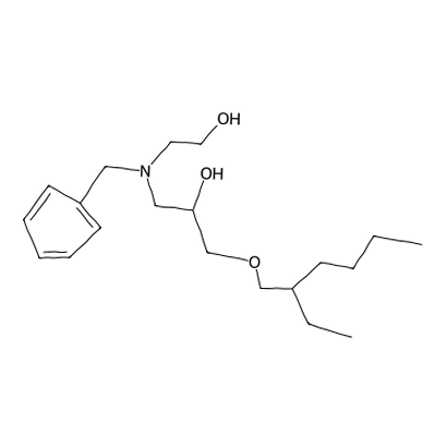 CCCCC(CC)COCC(O)CN(CCO)Cc1ccccc1